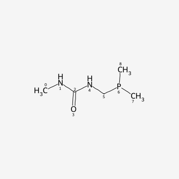 CNC(=O)NCP(C)C